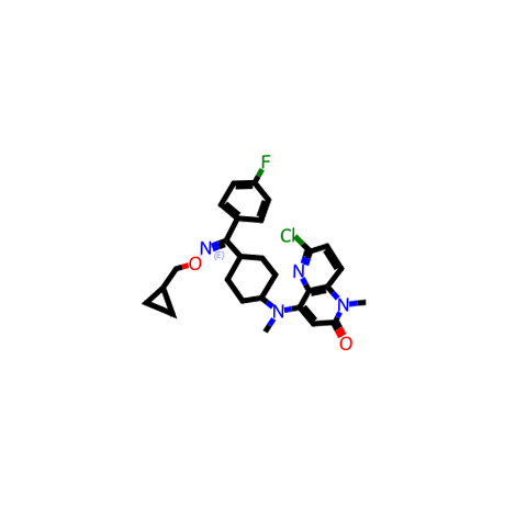 CN(c1cc(=O)n(C)c2ccc(Cl)nc12)C1CCC(/C(=N\OCC2CC2)c2ccc(F)cc2)CC1